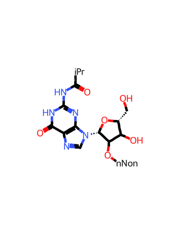 CCCCCCCCCOC1C(O)[C@@H](CO)O[C@H]1n1cnc2c(=O)[nH]c(NC(=O)C(C)C)nc21